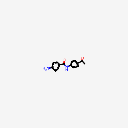 CC(=O)c1ccc(NC(=O)c2ccc(N)cc2)cc1